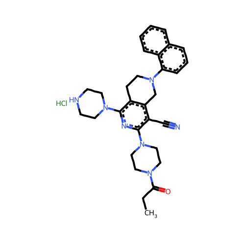 CCC(=O)N1CCN(c2nc(N3CCNCC3)c3c(c2C#N)CN(c2cccc4ccccc24)CC3)CC1.Cl